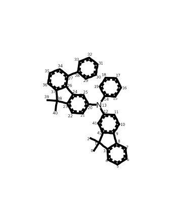 CC1(C)c2ccccc2-c2ccc(N(c3ccccc3)c3ccc4c(c3)-c3c(-c5ccccc5)cccc3C4(C)C)cc21